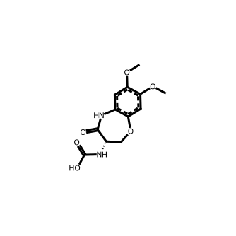 COc1cc2c(cc1OC)OC[C@H](NC(=O)O)C(=O)N2